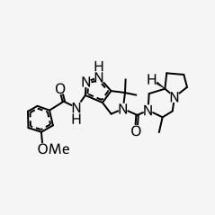 COc1cccc(C(=O)Nc2n[nH]c3c2CN(C(=O)N2C[C@@H]4CCCN4CC2C)C3(C)C)c1